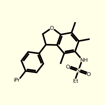 CCS(=O)(=O)Nc1c(C)c(C)c2c(c1C)C(c1ccc(C(C)C)cc1)CO2